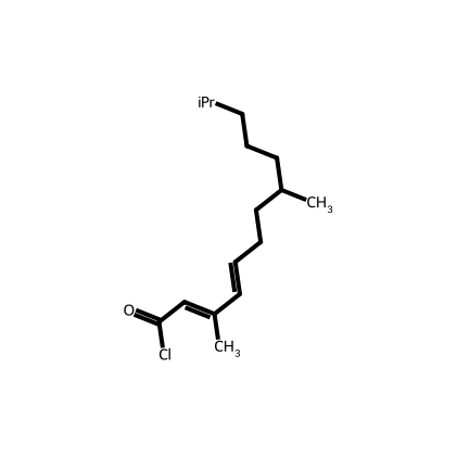 CC(C=CCCC(C)CCCC(C)C)=CC(=O)Cl